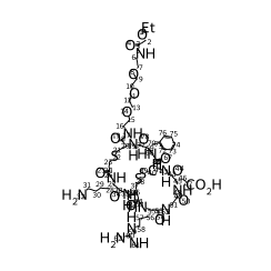 CCOCC(=O)NCCOCCOCCOCCNC(=O)[C@@H]1CSCC(=O)N[C@@H](CCCCN)C(=O)N[C@H]2CSSC[C@H](NC(=O)[C@H](CC(=O)O)NC(=O)CNC(=O)[C@H](CCCNC(=N)N)NC2=O)C(=O)N[C@@H](Cc2ccccc2)C(=O)N1